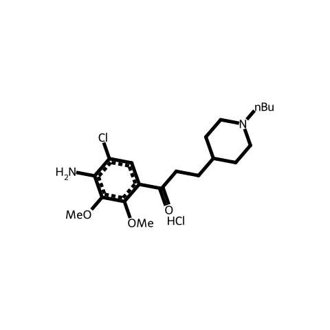 CCCCN1CCC(CCC(=O)c2cc(Cl)c(N)c(OC)c2OC)CC1.Cl